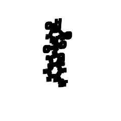 O=C1CN(S(=O)(=O)c2cc3ccc(Br)cc3o2)C(=O)N1